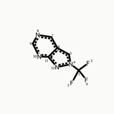 FC(F)(F)n1cc2cncnc2n1